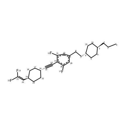 CCC[C@H]1CC[C@H](CCc2cc(F)c(C#C[C@H]3CC[C@H](C=C(F)F)CC3)c(F)c2)CC1